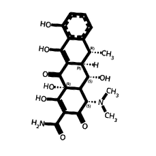 C[C@H]1c2cccc(O)c2C(O)=C2C(=O)[C@]3(O)C(O)=C(C(N)=O)C(=O)[C@@H](N(C)C)C3[C@@H](O)[C@@H]21